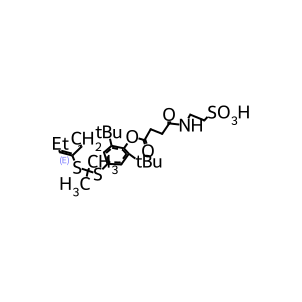 C=C/C(=C\CC)SC(C)(C)Sc1cc(C(C)(C)C)c(OC(=O)CCC(=O)NCCS(=O)(=O)O)c(C(C)(C)C)c1